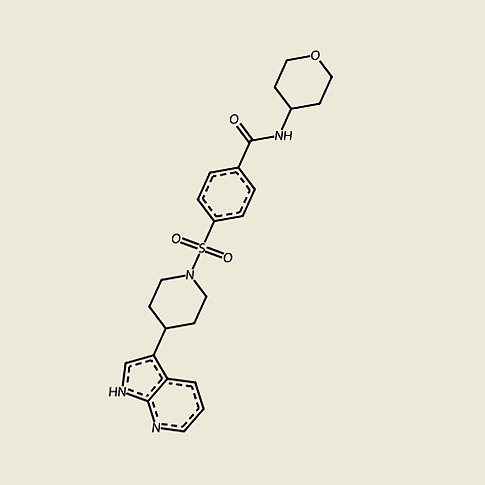 O=C(NC1CCOCC1)c1ccc(S(=O)(=O)N2CCC(c3c[nH]c4ncccc34)CC2)cc1